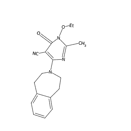 CCOn1c(C)nc(N2CCc3ccccc3CC2)c(C#N)c1=O